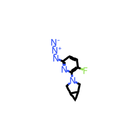 [N-]=[N+]=Nc1ccc(F)c(N2CC3CC3C2)n1